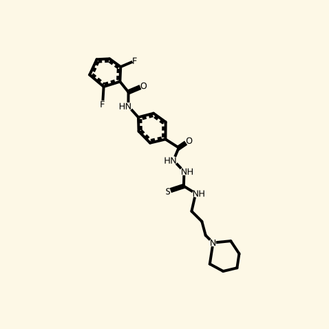 O=C(NNC(=S)NCCCN1CCCCC1)c1ccc(NC(=O)c2c(F)cccc2F)cc1